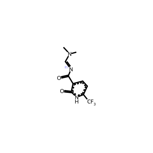 CN(C)/C=N/C(=O)c1ccc(C(F)(F)F)[nH]c1=O